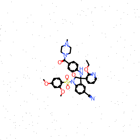 CCOc1ncccc1C1(Nc2ccc(C(=O)N3CCN(C)CC3)cc2)C(=O)N(S(=O)(=O)c2ccc(OC)cc2OC)c2ccc(C#N)cc21